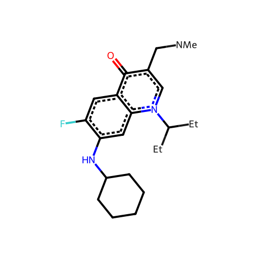 CCC(CC)n1cc(CNC)c(=O)c2cc(F)c(NC3CCCCC3)cc21